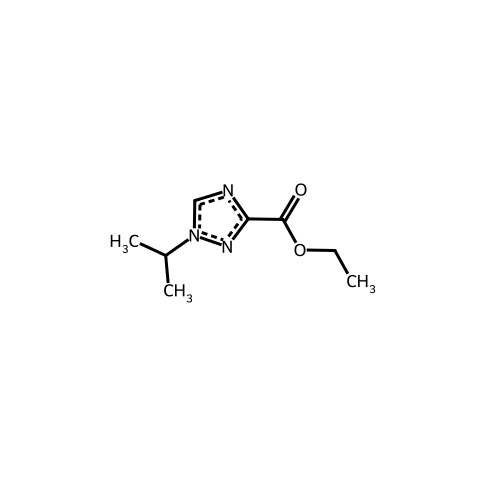 CCOC(=O)c1ncn(C(C)C)n1